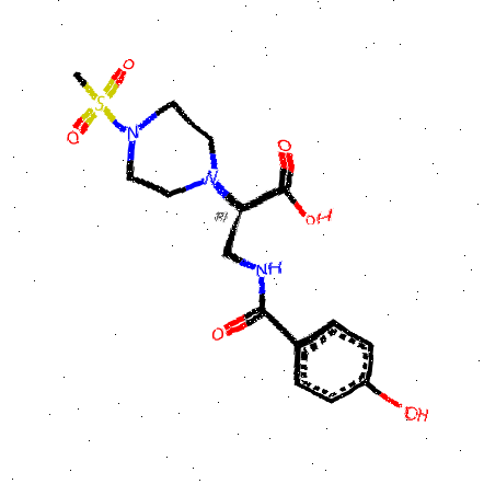 CS(=O)(=O)N1CCN([C@H](CNC(=O)c2ccc(O)cc2)C(=O)O)CC1